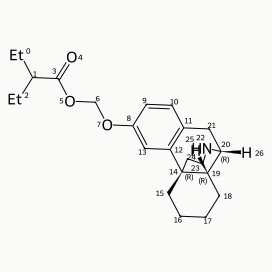 CCC(CC)C(=O)OCOc1ccc2c(c1)[C@@]13CCCC[C@H]1[C@@H](C2)NCC3